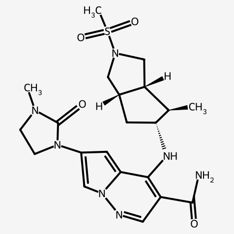 C[C@@H]1[C@H]2CN(S(C)(=O)=O)C[C@H]2C[C@H]1Nc1c(C(N)=O)cnn2cc(N3CCN(C)C3=O)cc12